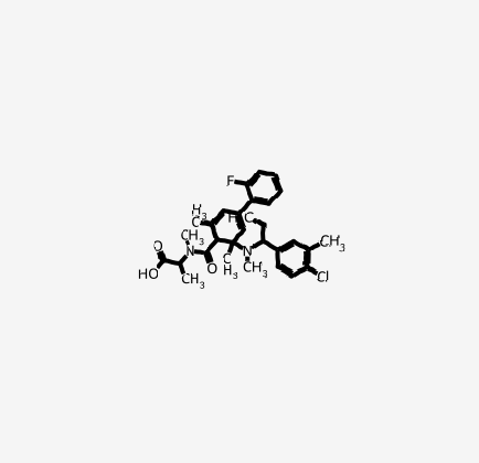 CCC(c1ccc(Cl)c(C)c1)N(C)C1(C)C=C(c2ccccc2F)C=C(C)C1C(=O)N(C)C(C)C(=O)O